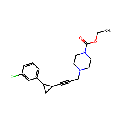 CCOC(=O)N1CCN(CC#CC2CC2c2cccc(Cl)c2)CC1